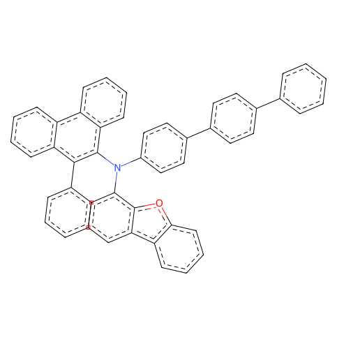 c1ccc(-c2ccc(-c3ccc(N(c4c(-c5ccccc5)c5ccccc5c5ccccc45)c4cccc5c4oc4ccccc45)cc3)cc2)cc1